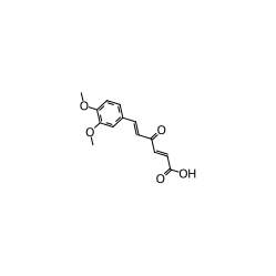 COc1ccc(/C=C/C(=O)/C=C/C(=O)O)cc1OC